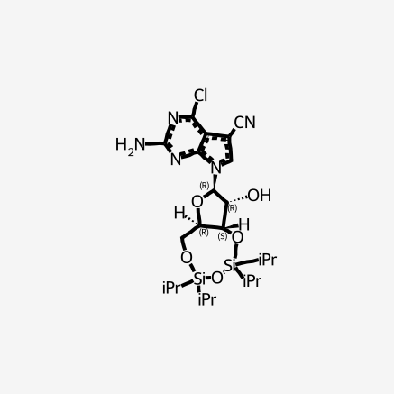 CC(C)[Si]1(C(C)C)OC[C@H]2O[C@@H](n3cc(C#N)c4c(Cl)nc(N)nc43)[C@H](O)[C@@H]2O[Si](C(C)C)(C(C)C)O1